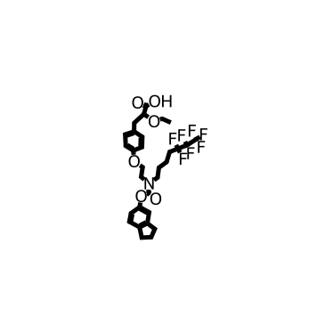 CCOC(Cc1ccc(OCCN(CCCCC(F)(F)C(F)(F)C(F)(F)F)C(=O)Oc2ccc3c(c2)CCC3)cc1)C(=O)O